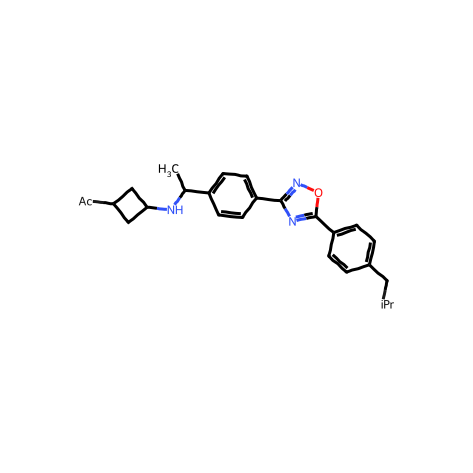 CC(=O)C1CC(NC(C)c2ccc(-c3noc(-c4ccc(CC(C)C)cc4)n3)cc2)C1